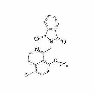 COc1ccc(Br)c2c1C(CN1C(=O)c3ccccc3C1=O)=NCC2